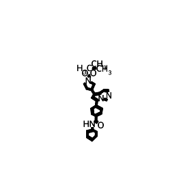 CC(C)(C)OC(=O)N1CCC(c2cc(-c3ccc(C(=O)NC4=CC=CCC4)cc3)n3cnccc23)C1